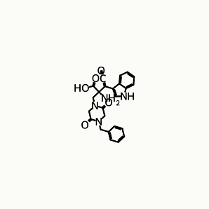 NC(CN1CC(=O)N(Cc2ccccc2)CC1=O)(C(=O)O)C(=C=O)c1c[nH]c2ccccc12